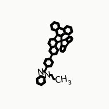 CCCn1c(-c2ccc(-c3ccc4c5c(ccc4c3)-c3c(c4ccccc4c4ccccc34)C53c4ccccc4-c4ccccc43)cc2)nc2ccccc21